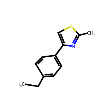 CCc1ccc(-c2csc(C)n2)cc1